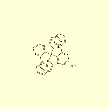 [Pt+2].c1ccc(-c2cccnc2C(c2ccccc2)(c2ccccc2)c2ncccc2-c2ccccc2)cc1